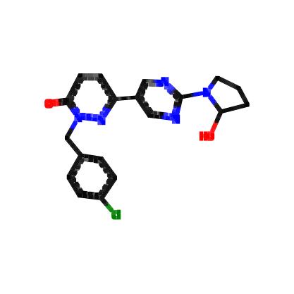 O=c1ccc(-c2cnc(N3CCCC3O)nc2)nn1Cc1ccc(Cl)cc1